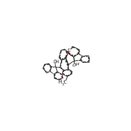 Cc1ccc2c(C3(O)c4ccccc4-c4ccccc43)c3ccccc3c(C3(O)c4ccccc4-c4ccccc43)c2c1